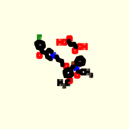 COc1ccc(OCCCCN2CCC(C(=O)c3ccc(F)cc3)CC2)c(C2Sc3ccccc3N2C(C)=O)c1.O=C(O)C=CC(=O)O